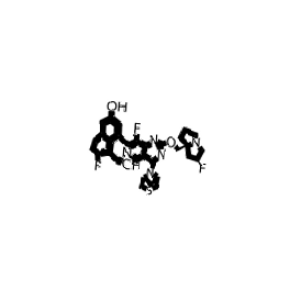 C#Cc1c(F)ccc2cc(O)cc(-c3ncc4c(N5C6CSCC5C6)nc(OC[C@@]56CCCN5C[C@H](F)C6)nc4c3F)c12